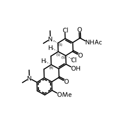 COc1ccc(N(C)C)c2c1C(=O)C1=C(O)[C@]3(Cl)C(=O)C(C(=O)NC(C)=O)=C(Cl)[C@@H](N(C)C)[C@@H]3C[C@@H]1C2